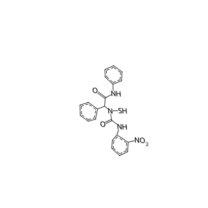 O=C(Nc1ccccc1)C(c1ccccc1)N(S)C(=O)Nc1ccccc1[N+](=O)[O-]